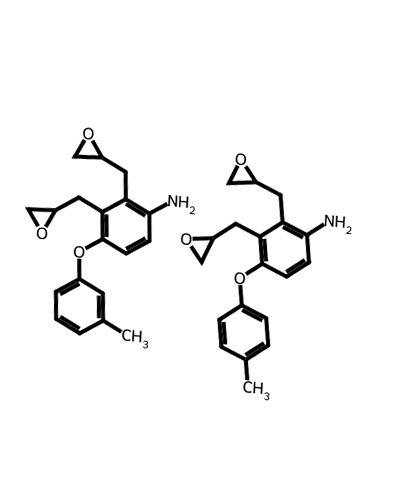 Cc1ccc(Oc2ccc(N)c(CC3CO3)c2CC2CO2)cc1.Cc1cccc(Oc2ccc(N)c(CC3CO3)c2CC2CO2)c1